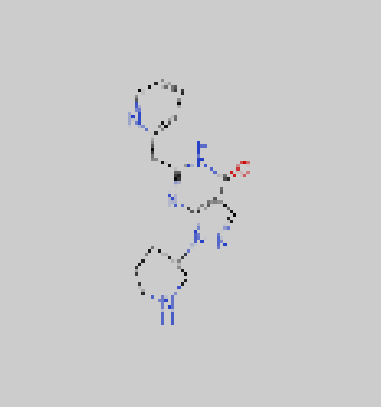 O=c1[nH]c(Cc2ccccn2)nc2c1cnn2C1CCCNC1